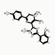 Cc1ccc(C2=NC(C3OC(c4ccccc4C)=NN3C)=C(N)N(C)C2)cc1